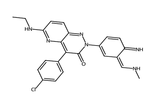 CCNc1ccc2nn(C3=C/C(=C/NC)C(=N)C=C3)c(=O)c(-c3ccc(Cl)cc3)c2n1